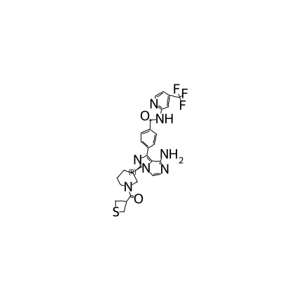 Nc1nccn2c([C@@H]3CCCN(C(=O)C4CSC4)C3)nc(-c3ccc(C(=O)Nc4cc(C(F)(F)F)ccn4)cc3)c12